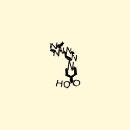 Cc1ncnn1-c1cc(N2CCC(C(=O)O)CC2)ncn1